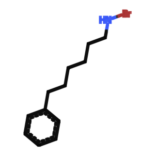 BrNCCCCCCc1ccccc1